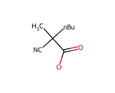 CCCCC(C)(C#N)C([O])=O